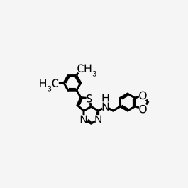 Cc1cc(C)cc(C2=CC3N=CN=C(NCc4ccc5c(c4)OCO5)C3S2)c1